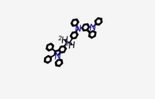 [2H]/C(=C(/[2H])c1ccc2c(c1)c(-c1ccccc1)c(-c1ccccc1)n2-c1ccccc1)c1ccc(N(c2ccccc2)c2ccc3c(c2)c2ccccc2n3-c2ccccc2)cc1